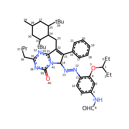 CCC(CC)Oc1cc(NC=O)ccc1N=NC1C(c2ccccc2)=C(CC2C(C(C)(C)C)CC(C)CC2C(C)(C)C)c2nc(CC(C)C)nc(=O)n21